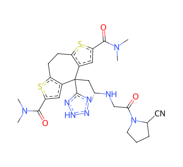 C[C@H](CC1(c2nn[nH]n2)c2cc(C(=O)N(C)C)sc2CCc2sc(C(=O)N(C)C)cc21)NCC(=O)N1CCCC1C#N